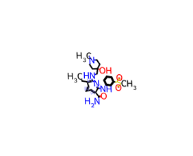 CCC1=C(NCC2(O)CCN(C)CC2)/N=C(Nc2cccc(S(C)(=O)=O)c2)\C(C(N)=O)=C\C=C\1